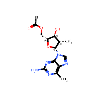 CCC(=O)OC[C@H]1O[C@@H](n2cnc3c(C)nc(N)nc32)[C@@H](C)[C@@H]1O